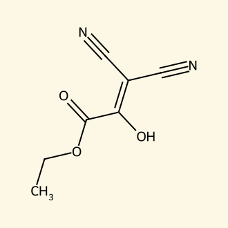 CCOC(=O)C(O)=C(C#N)C#N